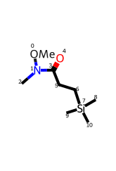 CON(C)C(=O)CC[Si](C)(C)C